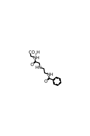 O=C(O)CNC(=O)CNCCNC(=O)c1ccccc1